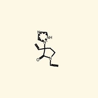 C=CN1CCC(C=C)([n+]2cnc[nH]2)C1=O